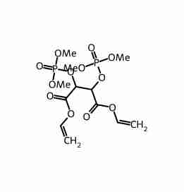 C=COC(=O)C(OP(=O)(OC)OC)C(OP(=O)(OC)OC)C(=O)OC=C